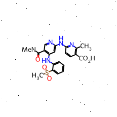 CNC(=O)c1cnc(Nc2ccc(C(=O)O)c(C)n2)cc1Nc1ccccc1S(C)(=O)=O